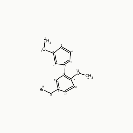 COc1cccc(-c2cc(CBr)ccc2OC)c1